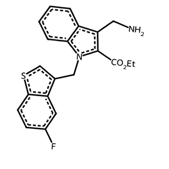 CCOC(=O)c1c(CN)c2ccccc2n1Cc1csc2ccc(F)cc12